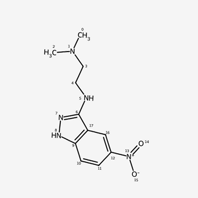 CN(C)CCNc1n[nH]c2ccc([N+](=O)[O-])cc12